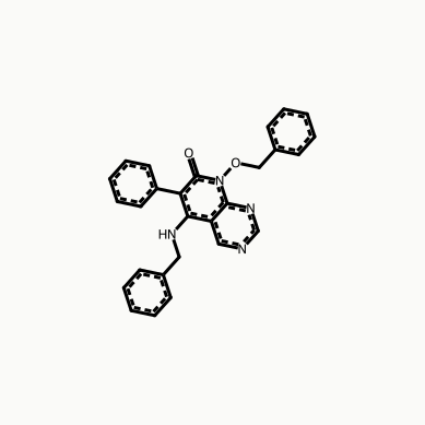 O=c1c(-c2ccccc2)c(NCc2ccccc2)c2cncnc2n1OCc1ccccc1